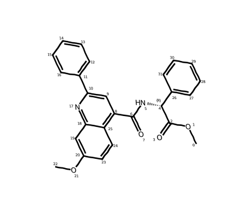 COC(=O)[C@H](NC(=O)c1cc(-c2ccccc2)nc2cc(OC)ccc12)c1ccccc1